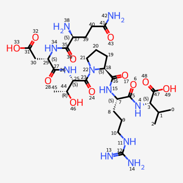 CC(C)[C@H](NC(=O)[C@H](CCCNC(=N)N)NC(=O)[C@@H]1CCCN1C(=O)[C@@H](NC(=O)[C@H](CC(=O)O)NC(=O)[C@@H](N)CCC(N)=O)[C@@H](C)O)C(=O)O